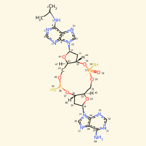 CC(C)Nc1ncnc2c1ncn2[C@H]1C[C@@H]2OP(=O)(S)OC[C@H]3O[C@@H](n4cnc5c(N)ncnc54)C[C@@H]3OP(S)OC[C@H]2O1